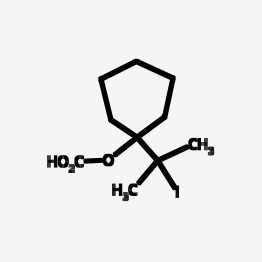 CC(C)(I)C1(OC(=O)O)CCCCC1